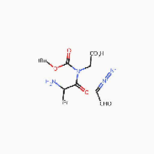 CC(C)C(N)C(=O)N(CC(=O)O)C(=O)OC(C)(C)C.[N-]=[N+]=CC=O